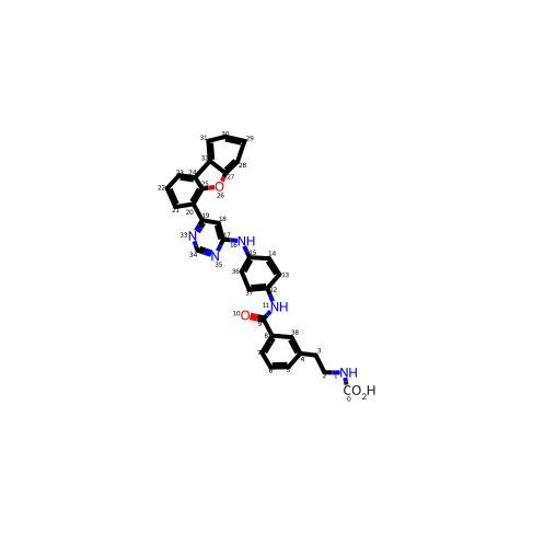 O=C(O)NCCc1cccc(C(=O)Nc2ccc(Nc3cc(-c4cccc5c4oc4ccccc45)ncn3)cc2)c1